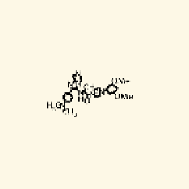 COc1cc(OC)cc(N2CCN(C(=O)C(C)Nc3c(-c4ccc(N(C)C)cc4)nc4cnccn34)CC2)c1